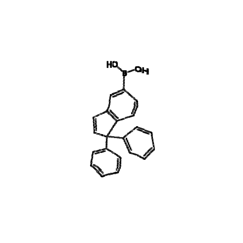 OB(O)c1ccc2c(c1)C=CC2(c1ccccc1)c1ccccc1